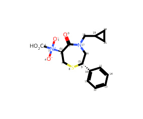 O=C1[C@H]([N+]([O-])([O-])C(=O)O)CS[C@@H](c2ccccc2)CN1CC1CC1